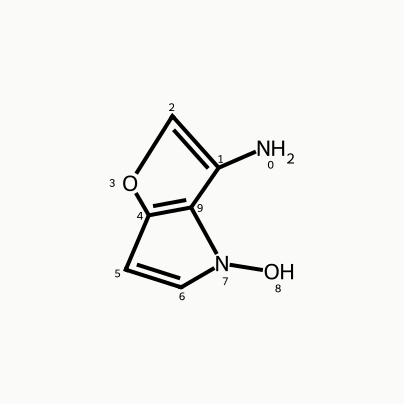 Nc1coc2ccn(O)c12